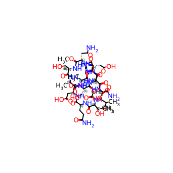 CC(=O)N[C@H](C(=O)N[C@@H](CCC(N)=O)C(=O)N[C@@H](CC(=O)O)C(=O)N[C@@H](C)C(=O)N[C@@H](CCC(=O)O)C(=O)N[C@@H](CC(=O)O)C(=O)N[C@@H](CC(N)=O)C(=O)N[C@H](C(=O)N[C@@H](C)C(=O)N[C@@H](CO)C(=O)N[C@@H](Cc1c[nH]cn1)C(=O)N[C@@H](CC(C)C)C(N)=O)[C@@H](C)O)[C@@H](C)O